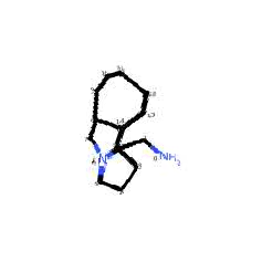 NCC12CCCN1CC1CCCCCC12